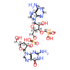 Nc1nc2c(ncn2[C@@H]2O[C@H](CO)CC2OP(=O)(O)OC[C@H]2O[C@@H](n3cnc4c(N)ncnc43)C(O)C2OC[PH](=O)O)c(=O)[nH]1